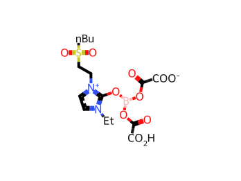 CCCCS(=O)(=O)CC[n+]1ccn(CC)c1OB(OC(=O)C(=O)[O-])OC(=O)C(=O)O